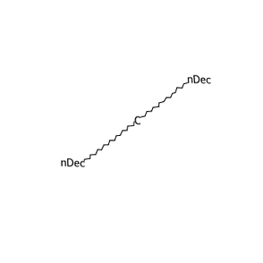 [CH2]CCCCCCCCCCCCCCCCCCCCCCCCCCCCCCCCCCCCCCCCCCCCCCCCCCCC[CH2]